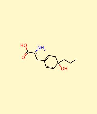 CCCC1(O)C=CC(C[C@H](N)C(=O)O)=CC1